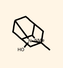 CNC1C2CC3CC1CC(C)(C2)N3O